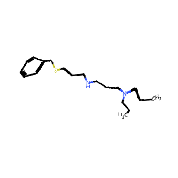 CCCN(CCC)CCCNCCCSCc1ccccc1